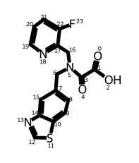 O=C(O)C(=O)N(Cc1ccc2scnc2c1)Cc1ncccc1F